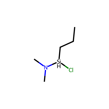 CCC[SiH](Cl)N(C)C